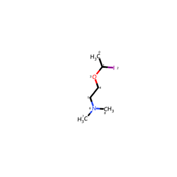 CC(I)OCCN(C)C